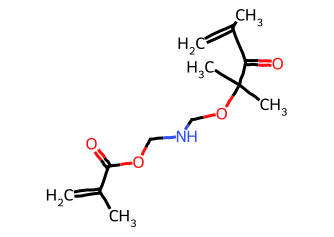 C=C(C)C(=O)OCNCOC(C)(C)C(=O)C(=C)C